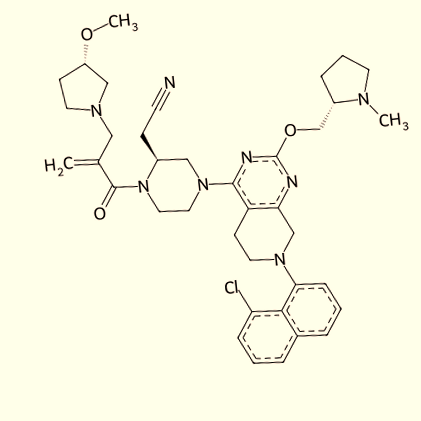 C=C(CN1CC[C@H](OC)C1)C(=O)N1CCN(c2nc(OC[C@@H]3CCCN3C)nc3c2CCN(c2cccc4cccc(Cl)c24)C3)C[C@@H]1CC#N